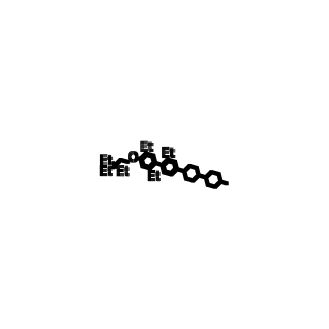 CCc1cc(-c2ccc(C3CCC(C4CCC(C)CC4)CC3)cc2CC)c(CC)cc1OCCC(CC)(CC)CC